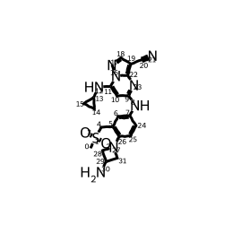 CS(=O)(=O)Cc1cc(Nc2cc(NC3CC3)n3ncc(C#N)c3n2)ccc1N1CC(N)C1